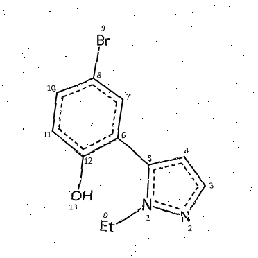 CCn1nccc1-c1cc(Br)ccc1O